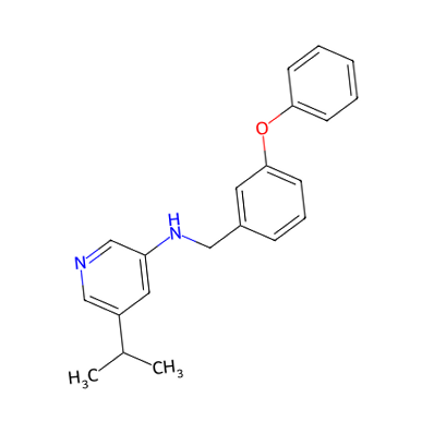 CC(C)c1cncc(NCc2cccc(Oc3ccccc3)c2)c1